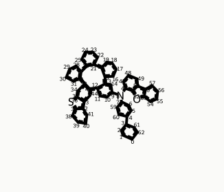 c1ccc(-c2ccc(N(c3ccc4c(c3)c3ccccc3c3ccccc3c3ccccc3c3cc5sc6ccccc6c5cc43)c3cccc4c3oc3ccccc34)cc2)cc1